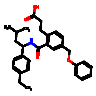 CCc1ccc(C(CC(C)C)NC(=O)c2cc(COc3ccccc3)ccc2CCC(=O)O)cc1